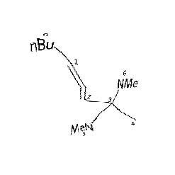 [CH2]CCC/C=C/C(C)(NC)NC